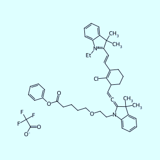 CC[N+]1=C(/C=C/C2=C(Cl)C(C=C=C3N(CCOCCCCC(=O)Oc4ccccc4)c4ccccc4C3(C)C)CCC2)C(C)(C)c2ccccc21.O=C([O-])C(F)(F)F